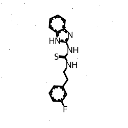 Fc1cccc(CCNC(=S)Nc2nc3ccccc3[nH]2)c1